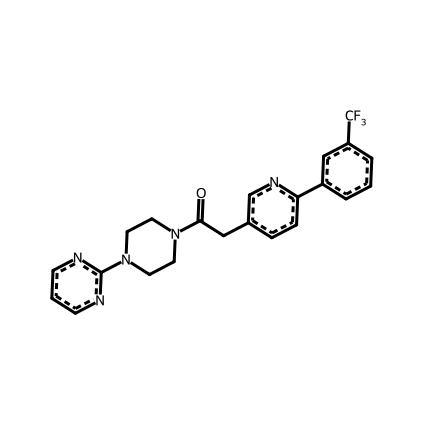 O=C(Cc1ccc(-c2cccc(C(F)(F)F)c2)nc1)N1CCN(c2ncccn2)CC1